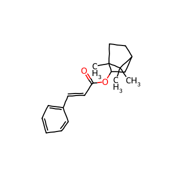 CC1(C)C2CCC1(C)C(OC(=O)C=Cc1ccccc1)C2